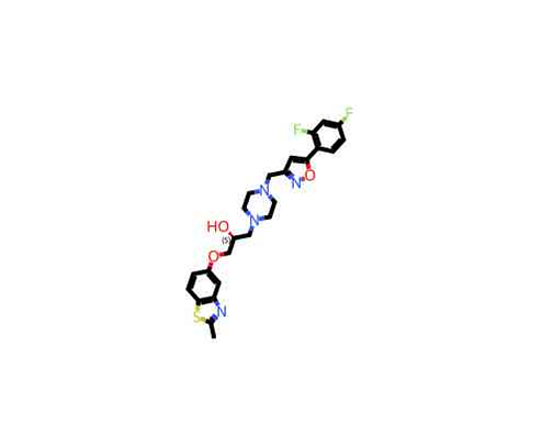 Cc1nc2cc(OC[C@@H](O)CN3CCN(Cc4cc(-c5ccc(F)cc5F)on4)CC3)ccc2s1